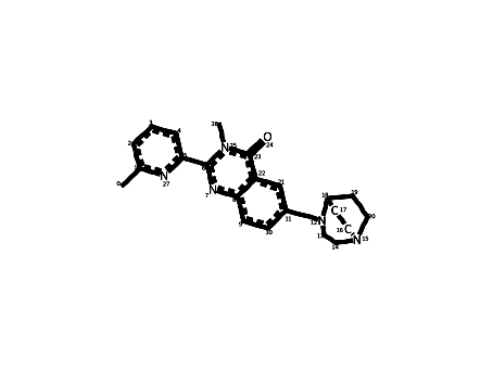 Cc1cccc(-c2nc3ccc(N4CCN5CCC4CC5)cc3c(=O)n2C)n1